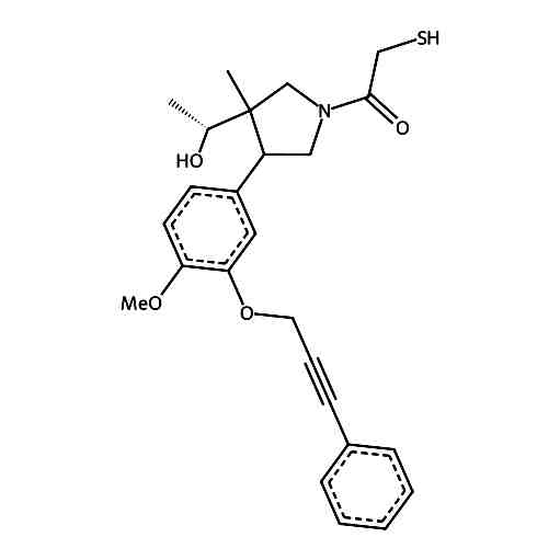 COc1ccc(C2CN(C(=O)CS)CC2(C)[C@@H](C)O)cc1OCC#Cc1ccccc1